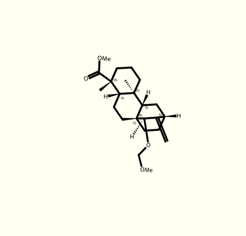 C=C1[C@H]2CC[C@@]3(CC[C@H]4[C@@](C)(CCC[C@@]4(C)C(=O)OC)[C@@H]3C2)[C@@H]1OCOC